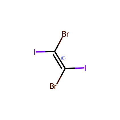 Br/C(I)=C(/Br)I